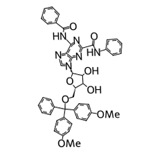 COc1ccc(C(OC[C@H]2O[C@@H](n3cnc4c(NC(=O)c5ccccc5)nc(C(=O)Nc5ccccc5)nc43)C(O)C2O)(c2ccccc2)c2ccc(OC)cc2)cc1